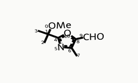 COC(C)(C)c1nc(C)c(C=O)o1